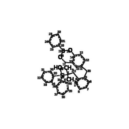 CC(C)(Cc1ccccc1Cc1ccc2c(c1)COB(c1ccccc1)O2)[Si](O)(c1ccccc1)c1ccccc1